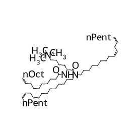 CCCCC/C=C\C/C=C\CCCCCCCCN(CCCCCCCC/C=C\C/C=C\CCCCC)C(=O)[C@H](CCCC[N+](C)(C)C)NC(=O)CCCCCCC/C=C\CCCCCCCC